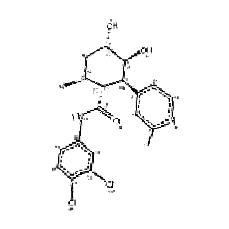 Cc1cc([C@@H]2[C@H](O)[C@@H](O)C[C@H](C)[C@H]2C(=O)Nc2ccc(Cl)c(Cl)c2)ccn1